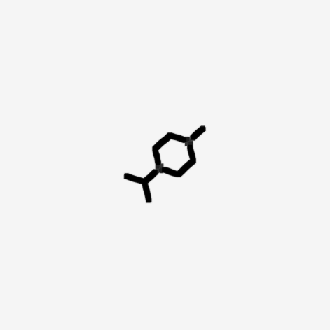 CC(C)N1CCN(C)CC1